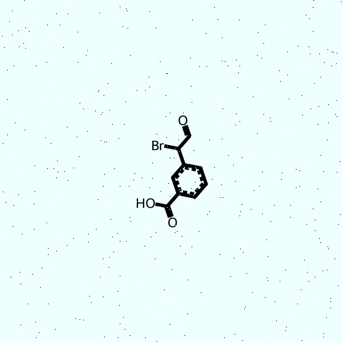 O=CC(Br)c1cccc(C(=O)O)c1